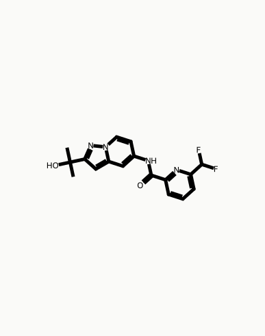 CC(C)(O)c1cc2cc(NC(=O)c3cccc(C(F)F)n3)ccn2n1